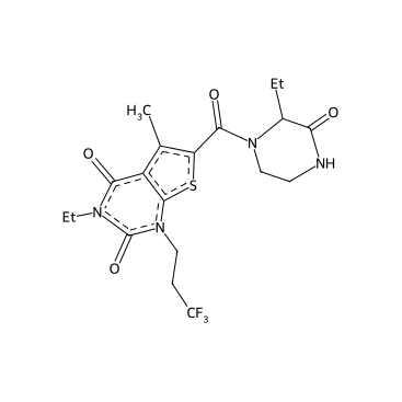 CCC1C(=O)NCCN1C(=O)c1sc2c(c1C)c(=O)n(CC)c(=O)n2CCC(F)(F)F